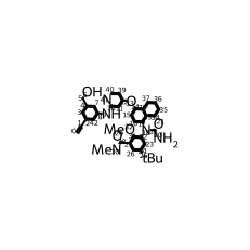 C#Cc1cc(CO)cc(Nc2cc(Oc3ccc(N(C(N)=O)c4cc(C(C)(C)C)cc(C(=O)NC)c4OC)c4ccccc34)ccn2)c1